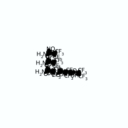 NC(=O)c1cc(Br)cc(-c2cc(C(F)(F)F)cc(C(F)(F)F)c2)c1O.NC(=O)c1cc(Cl)cc(-c2cc(C(F)(F)F)cc(C(F)(F)F)c2)c1O.NC(=O)c1cc(I)cc(-c2cc(C(F)(F)F)cc(C(F)(F)F)c2)c1O.NC(=O)c1cc([N+](=O)[O-])cc(-c2cc(C(F)(F)F)cc(C(F)(F)F)c2)c1O.O=C(Nc1cc(C(F)(F)F)cc(C(F)(F)F)c1)c1ccccc1O